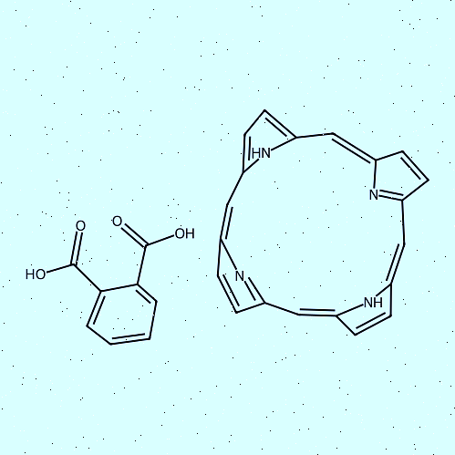 C1=Cc2cc3ccc(cc4nc(cc5ccc(cc1n2)[nH]5)C=C4)[nH]3.O=C(O)c1ccccc1C(=O)O